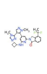 Cn1cnnc1-c1cnn(C)c1-c1cc(NC2CCC2)nc(N2Cc3c(cccc3C(C)(F)F)C2=O)c1